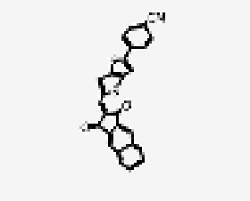 N#Cc1ccc(-c2cc3sc(C=C4C(=O)c5cc6ccccc6cc5C4=O)cc3s2)cc1